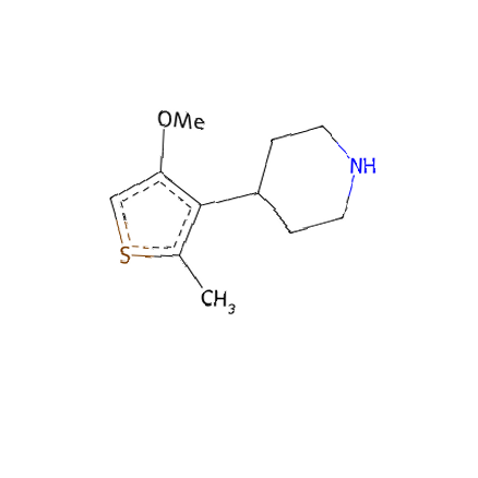 COc1csc(C)c1C1CCNCC1